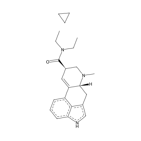 C1CC1.CCN(CC)C(=O)[C@@H]1C=C2c3cccc4[nH]cc(c34)C[C@H]2N(C)C1